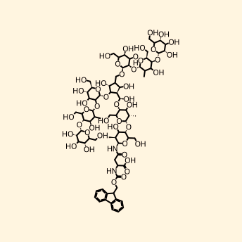 CC1C(O)[C@H](O[C@@H]2OC(CO)[C@H](O)C(O)[C@@H]2O)[C@H](CO)O[C@H]1O[C@@H]1C(O)[C@H](O)C(CO)O[C@@H]1OCC1C(O)[C@@H]([C@@H](O)O[C@@H]2C(CO)O[C@@H](O[C@@H]3C(CO)O[C@@H](NC(=O)CC(NC(=O)OCC4c5ccccc5-c5ccccc54)C(=O)O)[C@@H](C)C3O)[C@@H](C)C2O)C(O[C@H]2O[C@H](CO)[C@@H](O)C(O)C2O[C@@H]2OC(CO)[C@@H](O[C@@H]3OC(CO)[C@H](O)C(O)[C@@H]3O)[C@H](O)C2C)[C@@H]1O